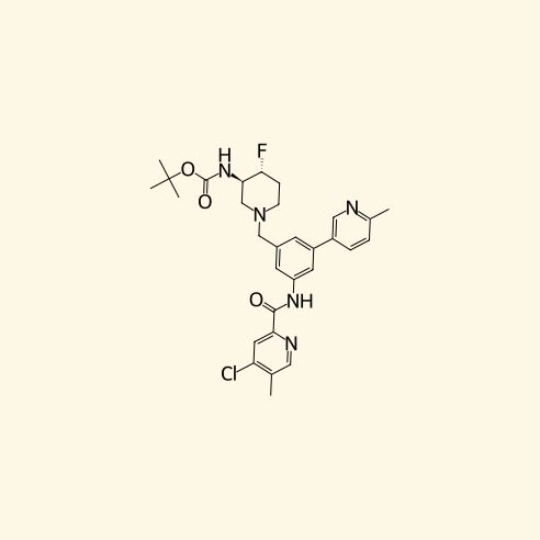 Cc1ccc(-c2cc(CN3CC[C@@H](F)[C@H](NC(=O)OC(C)(C)C)C3)cc(NC(=O)c3cc(Cl)c(C)cn3)c2)cn1